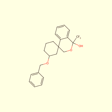 OC1(C(F)(F)F)OCC2(CCCC(OCc3ccccc3)C2)c2ccccc21